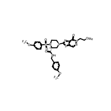 COCCn1ncc2sc(N3CCN(S(=O)(=O)c4ccc(OC(F)(F)F)cc4)[C@@H](C(=O)NCc4ccc(OC(F)(F)F)cc4)C3)nc2c1=O